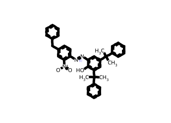 CC(C)(c1ccccc1)c1cc(/N=N/c2ccc(Cc3ccccc3)cc2[N+](=O)[O-])c(O)c(C(C)(C)c2ccccc2)c1